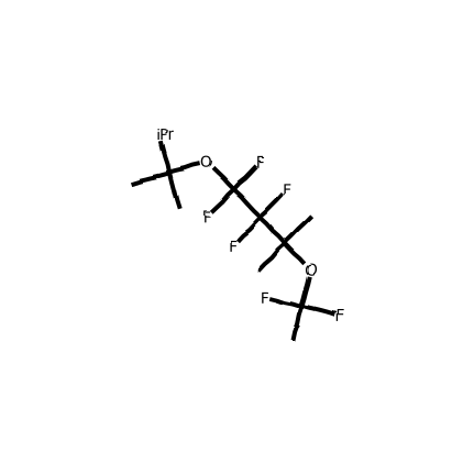 CC(C)C(C)(C)OC(F)(F)C(F)(F)C(C)(C)OC(C)(F)F